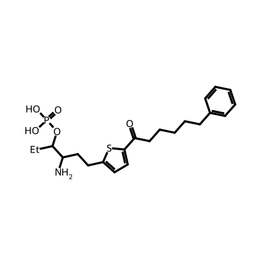 CCC(OP(=O)(O)O)C(N)CCc1ccc(C(=O)CCCCCc2ccccc2)s1